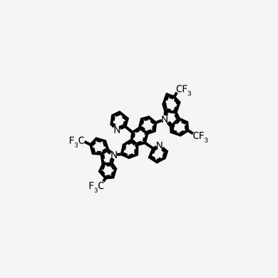 FC(F)(F)c1ccc2c(c1)c1cc(C(F)(F)F)ccc1n2-c1ccc2c(-c3ccccn3)c3cc(-n4c5ccc(C(F)(F)F)cc5c5cc(C(F)(F)F)ccc54)ccc3c(-c3ccccn3)c2c1